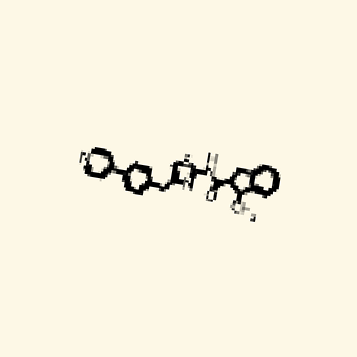 CC1c2ccccc2CC1C(=O)Nc1nc(Cc2ccc(-c3ccncc3)cc2)cs1